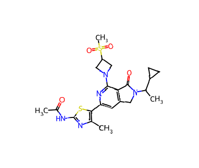 CC(=O)Nc1nc(C)c(-c2cc3c(c(N4CC(S(C)(=O)=O)C4)n2)C(=O)N(C(C)C2CC2)C3)s1